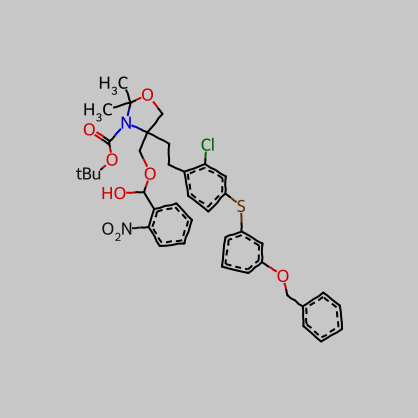 CC(C)(C)OC(=O)N1C(CCc2ccc(Sc3cccc(OCc4ccccc4)c3)cc2Cl)(COC(O)c2ccccc2[N+](=O)[O-])COC1(C)C